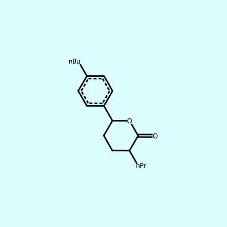 CCCCc1ccc(C2CCC(CCC)C(=O)O2)cc1